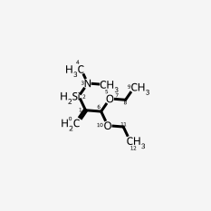 C=C([SiH2]N(C)C)C(OCC)OCC